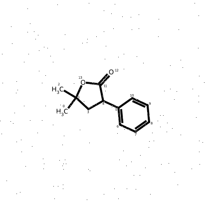 CC1(C)CC(c2ccccc2)C(=O)O1